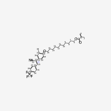 C=C(C)C(=O)OCCCCCCCCCCCOc1ccc(/C(C#N)=C/c2ccc(C(F)(F)F)cc2)cc1C